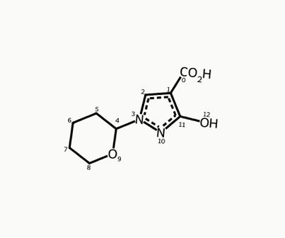 O=C(O)c1cn(C2CCCCO2)nc1O